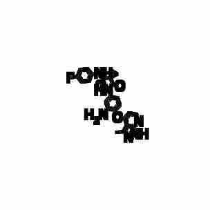 Cc1n[nH]c2nccc(Oc3ccc(NC(=O)C4(C(=O)Nc5ccc(F)cc5)CC4)cc3N)c12